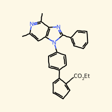 CCOC(=O)c1ccccc1-c1ccc(-n2c(-c3ccccc3)nc3c(C)nc(C)cc32)cc1